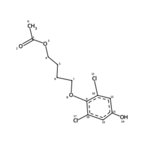 CC(=O)OCCCCOc1c(Cl)cc(O)cc1Cl